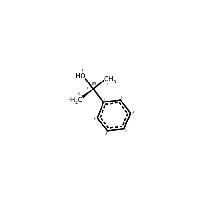 [CH2][C@](C)(O)c1ccccc1